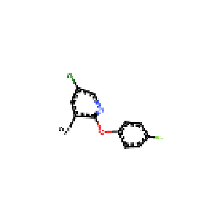 O=[N+]([O-])c1cc(Cl)cnc1Oc1ccc(F)cc1